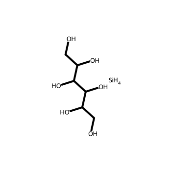 OCC(O)C(O)C(O)C(O)CO.[SiH4]